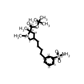 CN1CC(CCCCc2cccc(S(N)(=O)=O)c2)CC1(C)C(=O)OC(C)(C)C